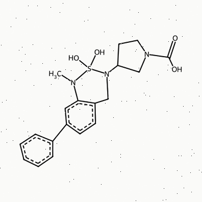 CN1c2cc(-c3ccccc3)ccc2CN(C2CCN(C(=O)O)C2)S1(O)O